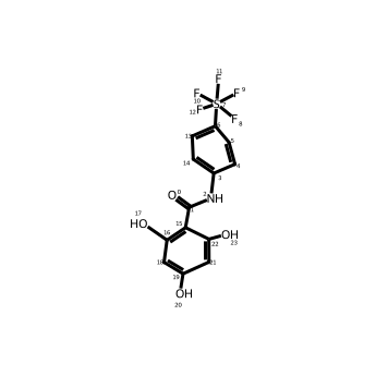 O=C(Nc1ccc(S(F)(F)(F)(F)F)cc1)c1c(O)cc(O)cc1O